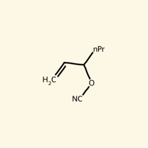 C=CC(CCC)OC#N